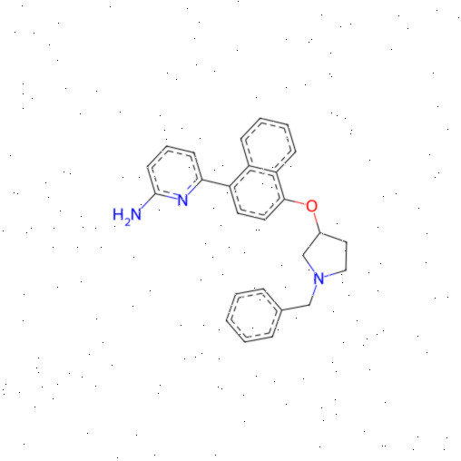 Nc1cccc(-c2ccc(OC3CCN(Cc4ccccc4)C3)c3ccccc23)n1